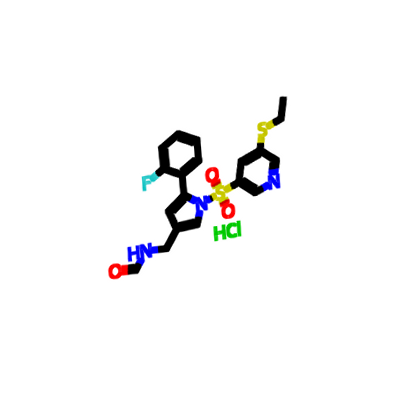 CCSc1cncc(S(=O)(=O)n2cc(CNC=O)cc2-c2ccccc2F)c1.Cl